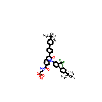 CC(C)(C)c1ccc(-c2ccc(C(Cc3ccc(C(=O)NCCS(=O)(=O)O)cc3)C(=O)Nc3ccc(-c4ccc(C(C)(C)C)cc4)c(C(F)(F)F)c3)cc2)cc1